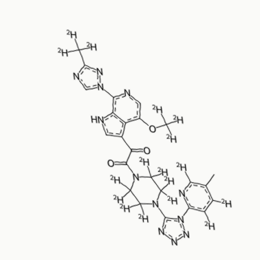 [2H]c1nc(-n2nnnc2N2C([2H])([2H])C([2H])([2H])N(C(=O)C(=O)c3c[nH]c4c(-n5cnc(C([2H])([2H])[2H])n5)ncc(OC([2H])([2H])[2H])c34)C([2H])([2H])C2([2H])[2H])c([2H])c([2H])c1C